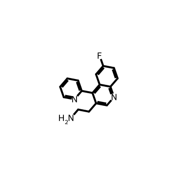 NCCc1cnc2ccc(F)cc2c1-c1ccccn1